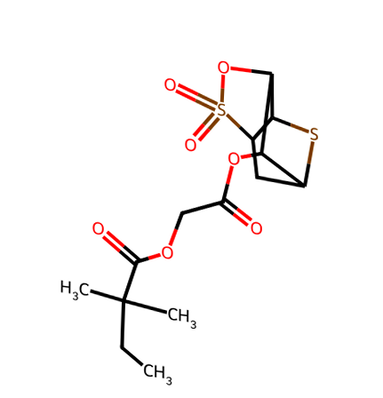 CCC(C)(C)C(=O)OCC(=O)OC1C2CC3C(S2)C1OS3(=O)=O